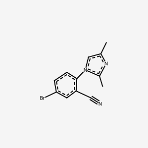 Cc1cn(-c2ccc(Br)cc2C#N)c(C)n1